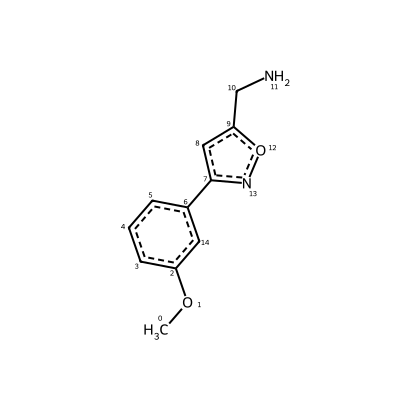 COc1cccc(-c2cc(CN)on2)c1